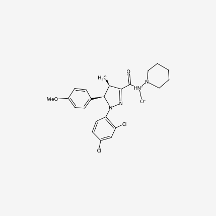 COc1ccc([C@H]2[C@@H](C)C(C(=O)[NH+]([O-])N3CCCCC3)=NN2c2ccc(Cl)cc2Cl)cc1